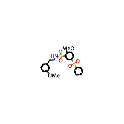 COc1cccc(CCNS(=O)(=O)c2cc(S(=O)(=O)c3ccccc3)ccc2OC)c1